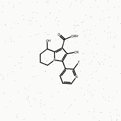 COC(=O)c1c(C#N)c(-c2cccnc2F)n2c1C(O)CCC2